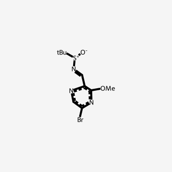 COc1nc(Br)cnc1C=N[S+]([O-])C(C)(C)C